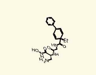 CCC1(C(=O)NCC(=O)N[C@@H](CN)C(=O)NO)C=CC(c2ccccc2)C=C1